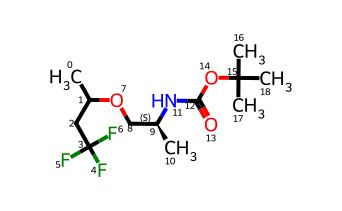 CC(CC(F)(F)F)OC[C@H](C)NC(=O)OC(C)(C)C